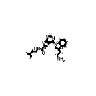 CC(C)CCNC(=O)c1nc2c(N3CC(CCN)c4ccccc43)ncnc2s1